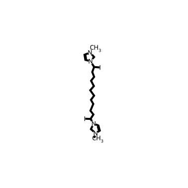 CN1C=CN(C(I)CCCCCCCCCCC(I)N2C=CN(C)C2)C1